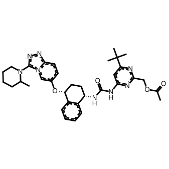 CC(=O)OCc1nc(NC(=O)N[C@H]2CC[C@@H](Oc3ccc4nnc(N5CCCCC5C)n4c3)c3ccccc32)cc(C(C)(C)C)n1